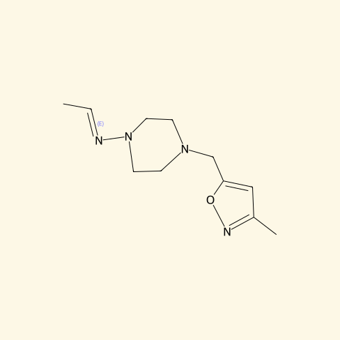 C/C=N/N1CCN(Cc2cc(C)no2)CC1